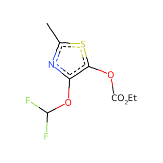 CCOC(=O)Oc1sc(C)nc1OC(F)F